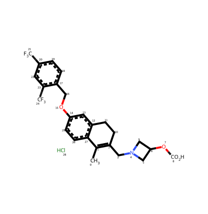 CC1=C(CN2CC(OC(=O)O)C2)CCc2cc(OCc3ccc(C(F)(F)F)cc3C(F)(F)F)ccc21.Cl